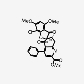 COC(=O)c1cc(-c2ccccc2)c2c(n1)C[C@@H](C)[C@]1(Oc3c(Cl)c(OC)cc(OC)c3C1=O)C2=O